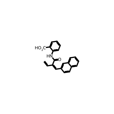 C=CC(=Cc1ccc2ccccc2c1)C(=O)Nc1ccccc1C(=O)O